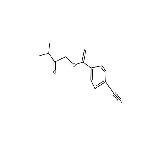 C=C(OCC(=O)C(C)C)c1ccc(C#N)cc1